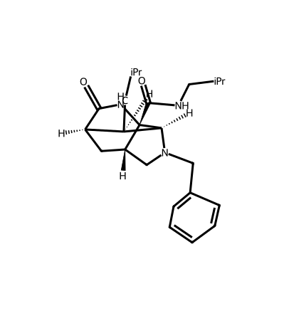 CC(C)CNC(=O)[C@]12NC(=O)[C@@H]3C[C@H]1CN(Cc1ccccc1)[C@H]2[C@@H]3CC(C)C